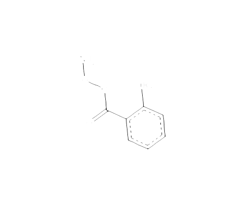 CC(C)(C)c1ccccc1C(=O)OON